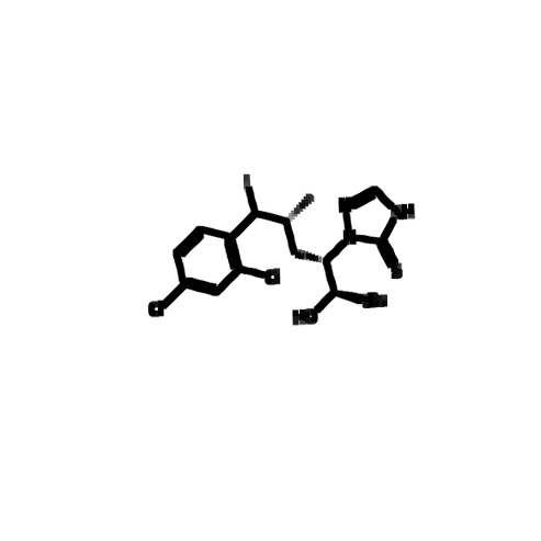 C[C@H](C[C@@H]([C@H](O)C(C)(C)C)n1nc[nH]c1=S)C(I)c1ccc(Cl)cc1Cl